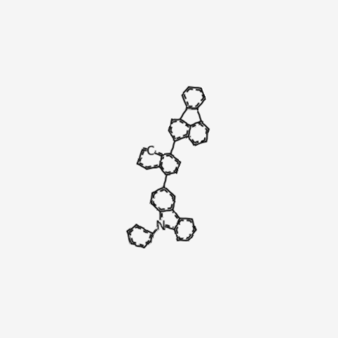 c1ccc(-n2c3ccccc3c3cc(-c4ccc(-c5ccc6c7c(cccc57)-c5ccccc5-6)c5ccccc45)ccc32)cc1